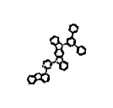 c1ccc(-c2cc(-c3ccccc3)cc(-n3c4ccccc4c4cc5c(cc43)c3ccccc3n5-c3ccnc(-c4cccc5c4sc4ccccc45)n3)c2)cc1